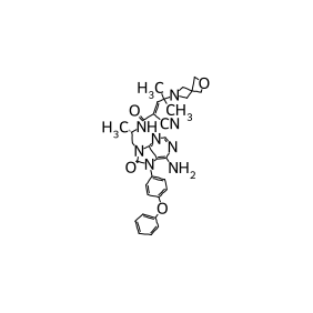 C[C@@H](Cn1c(=O)n(-c2ccc(Oc3ccccc3)cc2)c2c(N)ncnc21)NC(=O)/C(C#N)=C/C(C)(C)N1CC2(COC2)C1